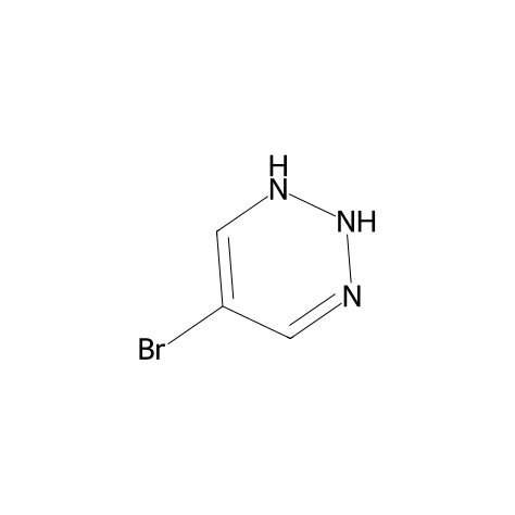 BrC1=CNNN=C1